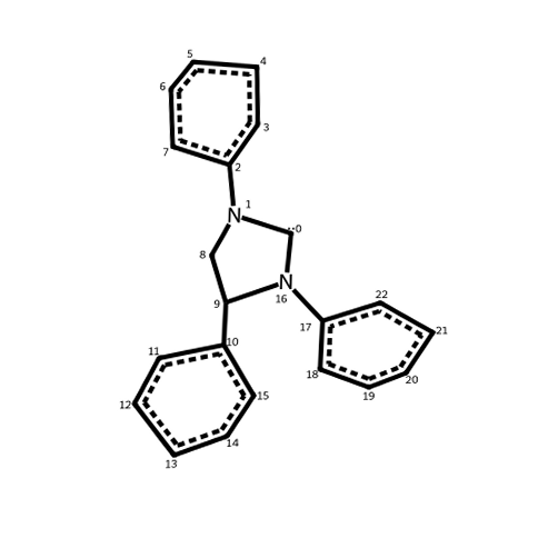 [C]1N(c2ccccc2)CC(c2ccccc2)N1c1ccccc1